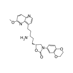 COc1ccc2nccc(CC[C@@H](N)CC[C@H]3CN(c4ccc5c(c4)OCCO5)C(=O)O3)c2n1